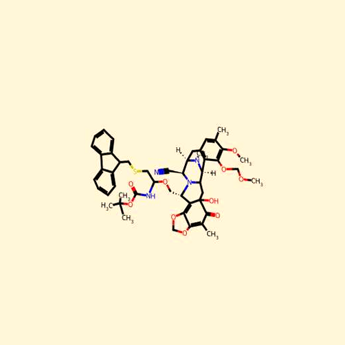 COCOc1c(OC)c(C)cc2c1[C@H]1C3CC4(O)C(=O)C(C)=C5OCOC5=C4[C@H](COC(CSCC4c5ccccc5-c5ccccc54)NC(=O)OC(C)(C)C)N3[C@@H](C#N)[C@@H](C2)N1C